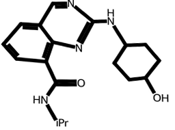 CC(C)NC(=O)c1cccc2cnc(NC3CCC(O)CC3)nc12